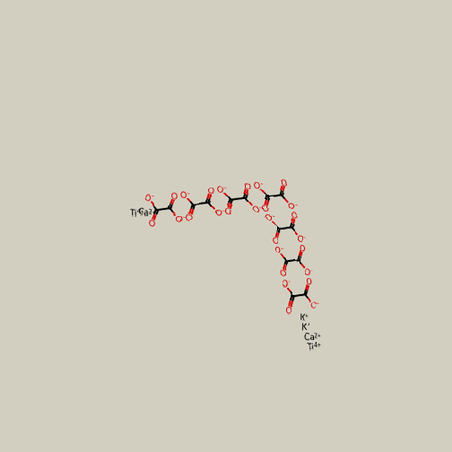 O=C([O-])C(=O)[O-].O=C([O-])C(=O)[O-].O=C([O-])C(=O)[O-].O=C([O-])C(=O)[O-].O=C([O-])C(=O)[O-].O=C([O-])C(=O)[O-].O=C([O-])C(=O)[O-].[Ca+2].[Ca+2].[K+].[K+].[Ti+4].[Ti+4]